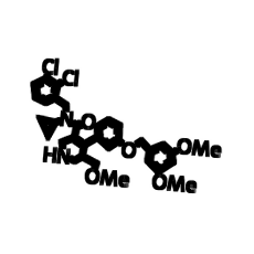 COCC1CNCC(C(=O)N(Cc2cccc(Cl)c2Cl)C2CC2)=C1c1cccc(OCc2cc(OC)cc(OC)c2)c1